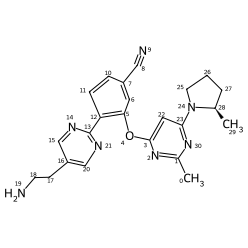 Cc1nc(Oc2cc(C#N)ccc2-c2ncc(CCN)cn2)cc(N2CCC[C@H]2C)n1